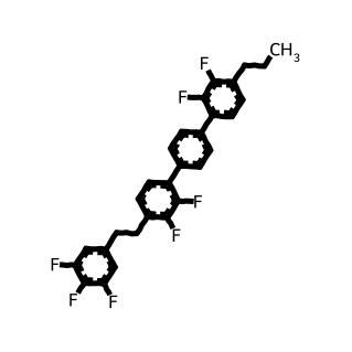 CCCc1ccc(-c2ccc(-c3ccc(CCc4cc(F)c(F)c(F)c4)c(F)c3F)cc2)c(F)c1F